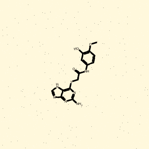 COc1ccc(NC(=O)CSc2nc(N)nc3nc[nH]c23)cc1O